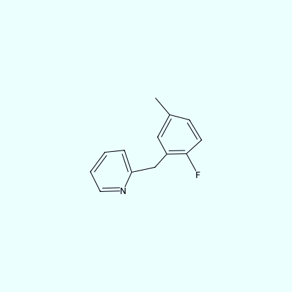 Cc1ccc(F)c(Cc2ccccn2)c1